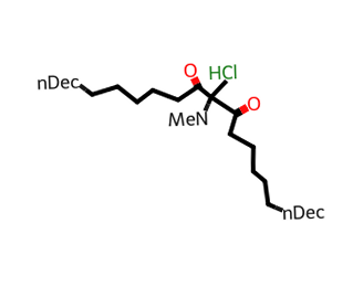 CCCCCCCCCCCCCCCC(=O)C(C)(NC)C(=O)CCCCCCCCCCCCCCC.Cl